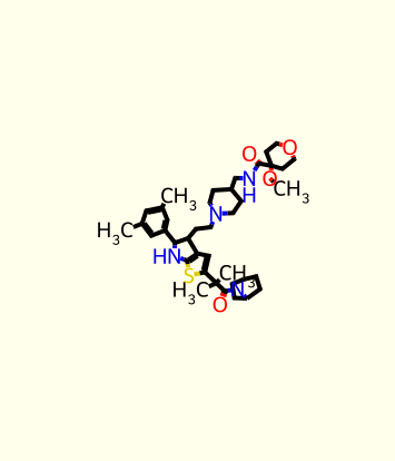 COC1(C(=O)NCC2CCN(CCC3c4cc(C(C)(C)C(=O)N5C6CCC5CC6)sc4NC3c3cc(C)cc(C)c3)CC2)CCOCC1